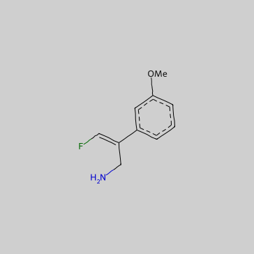 COc1cccc(C(=CF)CN)c1